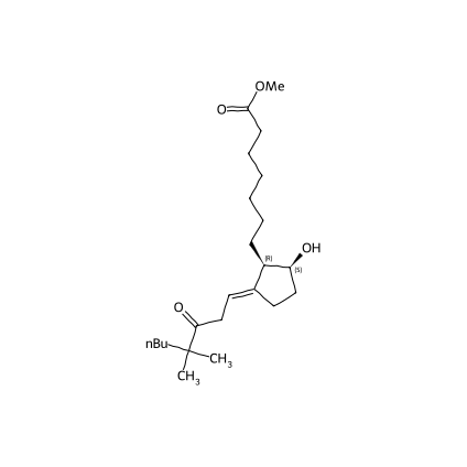 CCCCC(C)(C)C(=O)CC=C1CC[C@H](O)[C@@H]1CCCCCCC(=O)OC